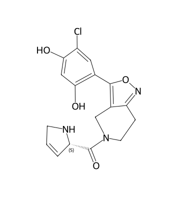 O=C([C@@H]1C=CCN1)N1CCc2noc(-c3cc(Cl)c(O)cc3O)c2C1